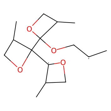 C[CH]COC1(C2([C]3OCC3C)OCC2C)OCC1C